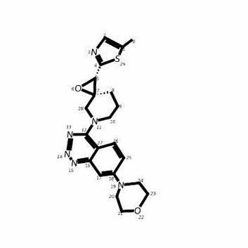 Cc1cnc([C@H]2O[C@@]23CCCN(c2nnnc4cc(N5CCOCC5)ccc24)C3)s1